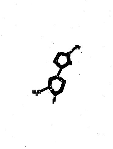 Cc1cc(-c2ccn(C(C)C)n2)ccc1F